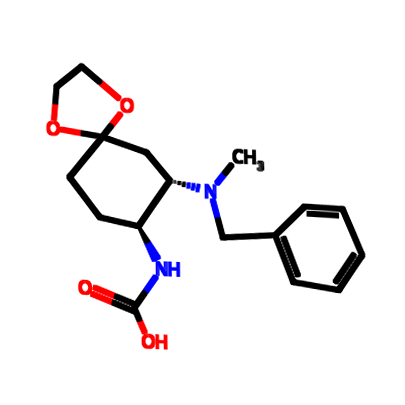 CN(Cc1ccccc1)[C@H]1CC2(CC[C@@H]1NC(=O)O)OCCO2